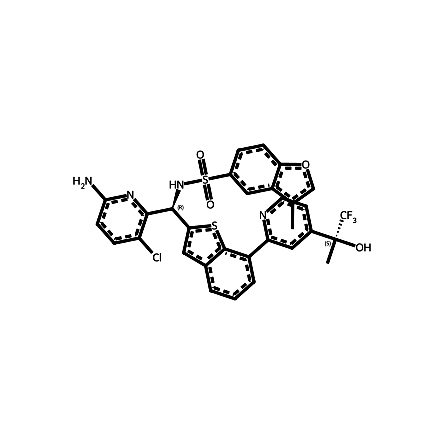 Cc1coc2ccc(S(=O)(=O)N[C@@H](c3cc4cccc(-c5cc([C@](C)(O)C(F)(F)F)ccn5)c4s3)c3nc(N)ccc3Cl)cc12